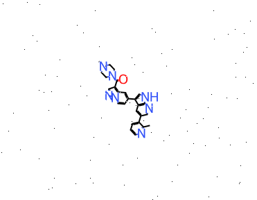 Cc1ncccc1-c1cnc2[nH]cc(-c3ccn4ncc(C(=O)N5CCN(C)CC5)c4c3)c2c1